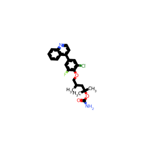 CC(COc1c(F)cc(-c2ccnc3ccccc23)cc1Cl)CC(C)(C)OC(N)=O